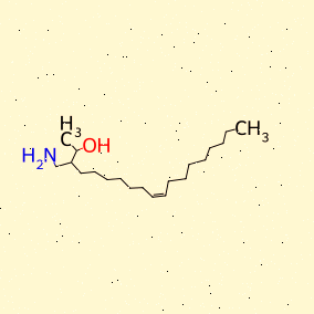 CCCCCCCC/C=C\CCCCCCC(CN)C(C)O